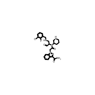 NC(=O)c1nn(CC(=O)N(C(C=O)CNCc2cccc(Cl)c2F)C2CCCNC2)c2ccccc12